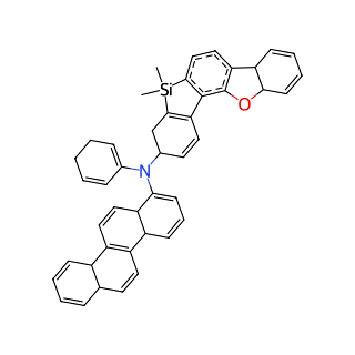 C[Si]1(C)C2=C(C=CC(N(C3=CCCC=C3)C3=CC=CC4C5=C(C=CC34)C3C=CC=CC3C=C5)C2)c2c1ccc1c2OC2C=CC=CC12